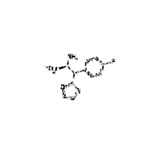 CCOC(=O)[C@@H](N)C(c1ccc(F)cc1)c1ncco1